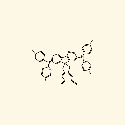 C=C/C=C/CC1(C/C=C/C=C)c2cc(N(c3ccc(C)cc3)c3ccc(C)cc3)ccc2-c2ccc(N(c3ccc(C)cc3)c3ccc(C)cc3)cc21